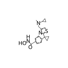 CN(Cc1csc(C2(c3ccc(C(=O)NO)cc3)CC2)n1)C1CC1